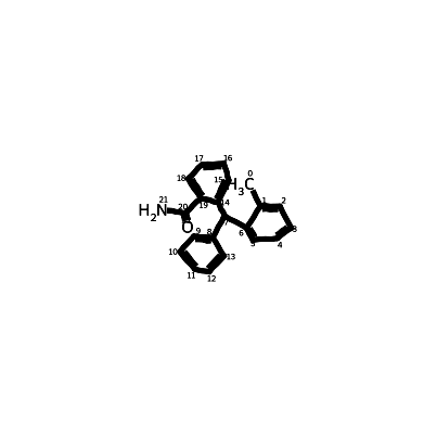 Cc1ccccc1C(c1ccccc1)c1ccccc1C(N)=O